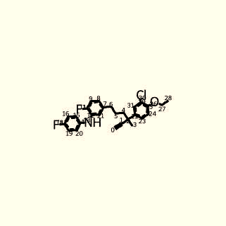 C#CC(C)(CCCc1ccc(F)c(Nc2ccc(F)cc2)c1)c1ccc(OCC)c(Cl)c1